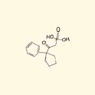 O=C(CP(=O)(O)O)C1(c2ccccc2)CCCC1